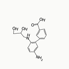 Nc1ccc(NCC(O)CO)c(-c2cccc(C(=O)O)c2)c1